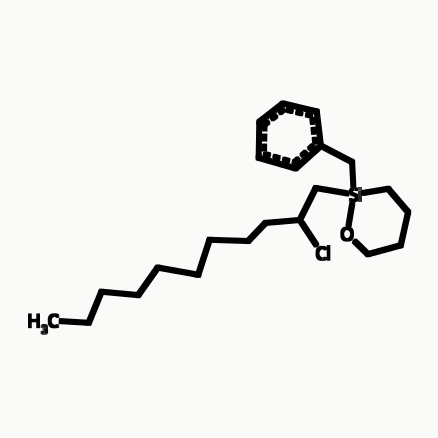 CCCCCCCCCC(Cl)C[Si]1(Cc2ccccc2)CCCCO1